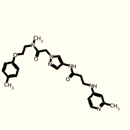 Cc1ccc(OCCN(C)C(=O)Cn2cc(NC(=O)CCNc3ccnc(C)c3)cn2)cc1